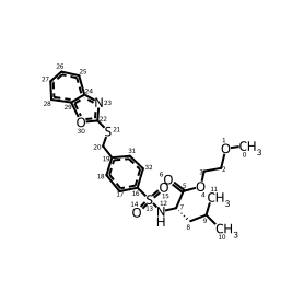 COCCOC(=O)[C@H](CC(C)C)NS(=O)(=O)c1ccc(CSc2nc3ccccc3o2)cc1